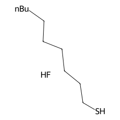 CCCCCCCCCCS.F